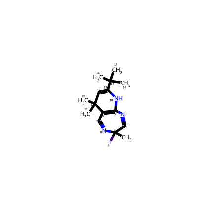 CC1(I)C=NC2=C(C=N1)C(C)(C)C=C(C(C)(C)C)N2